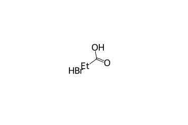 Br.CCC(=O)O